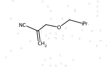 C=C(C#N)COCC(C)C